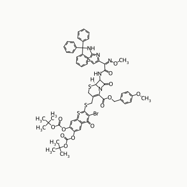 CO/N=C(\C(=O)NC1C(=O)N2C(C(=O)OCc3ccc(OC)cc3)=C(CSc3sc4cc(OC(=O)OC(C)(C)C)c(OC(=O)OC(C)(C)C)cc4c(=O)c3Br)CS[C@@H]12)c1csc(NC(c2ccccc2)(c2ccccc2)c2ccccc2)n1